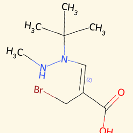 CNN(/C=C(\CBr)C(=O)O)C(C)(C)C